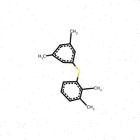 Cc1cc(C)cc(Sc2cccc(C)c2C)c1